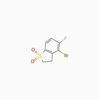 O=S1(=O)CCc2c1ccc(F)c2Br